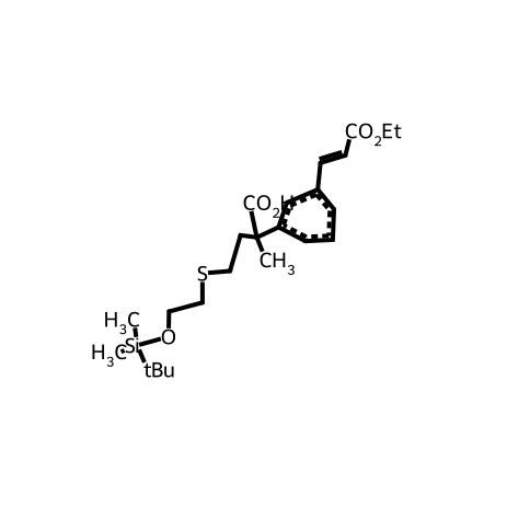 CCOC(=O)/C=C/c1cccc(C(C)(CCSCCO[Si](C)(C)C(C)(C)C)C(=O)O)c1